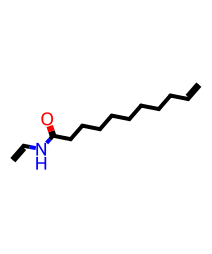 C=CCCCCCCCCC(=O)NC=C